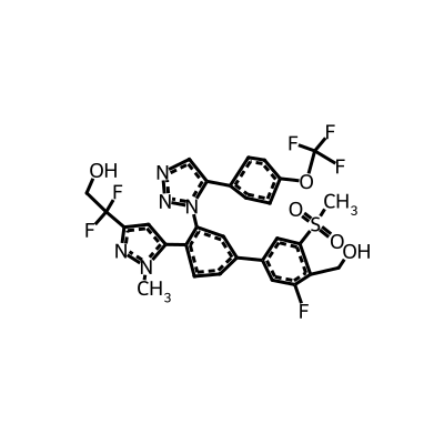 Cn1nc(C(F)(F)CO)cc1-c1ccc(-c2cc(F)c(CO)c(S(C)(=O)=O)c2)cc1-n1nncc1-c1ccc(OC(F)(F)F)cc1